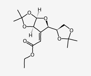 CCOC(=O)C=C1[C@H]2OC(C)(C)O[C@H]2O[C@H]1[C@H]1COC(C)(C)O1